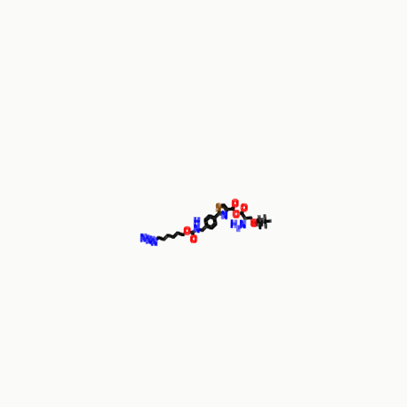 CC(C)(C)[Si](C)(C)OC[C@H](N)C(=O)OC(=O)c1csc(-c2ccc(CNC(=O)OCCCCCCN=[N+]=[N-])cc2)n1